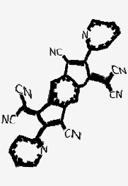 N#CC(C#N)=C1C(c2ccccn2)=C(C#N)c2cc3c(cc21)C(C#N)=C(c1ccccn1)C3=C(C#N)C#N